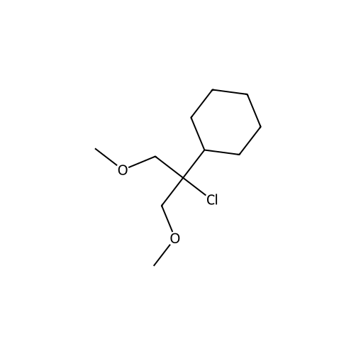 COCC(Cl)(COC)C1CCCCC1